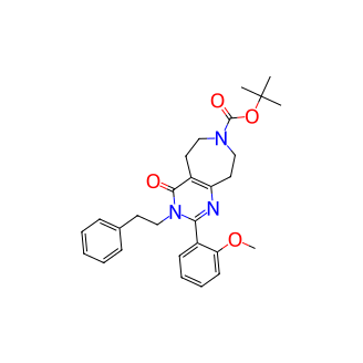 COc1ccccc1-c1nc2c(c(=O)n1CCc1ccccc1)CCN(C(=O)OC(C)(C)C)CC2